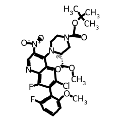 COC(=O)[C@H]1CN(C(=O)OC(C)(C)C)CCN1c1c([N+](=O)[O-])cnc2c(F)c(-c3c(F)cccc3OC)c(Cl)cc12